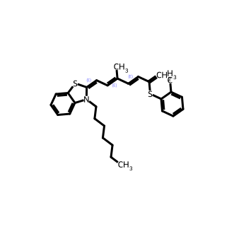 C=C(/C=C/C(C)=C/C=C1/Sc2ccccc2N1CCCCCCC)Sc1ccccc1C